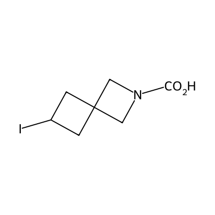 O=C(O)N1CC2(CC(I)C2)C1